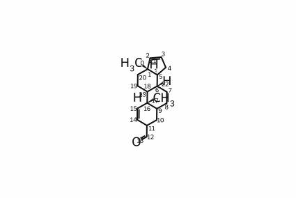 C[C@@]12C=CC[C@H]1[C@@H]1CCC3CC(C=O)C=C[C@]3(C)[C@H]1CC2